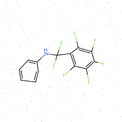 Fc1c(F)c(F)c(C(F)(F)Nc2ccccc2)c(F)c1F